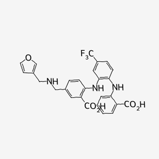 O=C(O)c1ccccc1Nc1ccc(C(F)(F)F)cc1Nc1ccc(CNCc2ccoc2)cc1C(=O)O